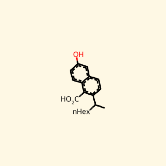 CCCCCCC(C)c1ccc2cc(O)ccc2c1C(=O)O